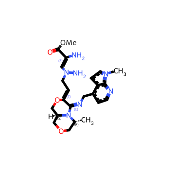 COC(=O)/C(N)=C/N(N)C/C=C1\OC[C@@H]2COC[C@@H](C)N2\C1=N\Cc1ccnc2c1ccn2C